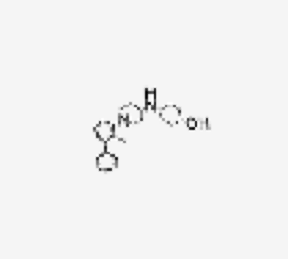 Cc1c(-c2ccccc2)cccc1N1CCC(N[C@H]2CC[C@H](O)CC2)CC1